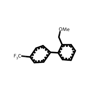 COCc1ccccc1-c1ccc(C(F)(F)F)cc1